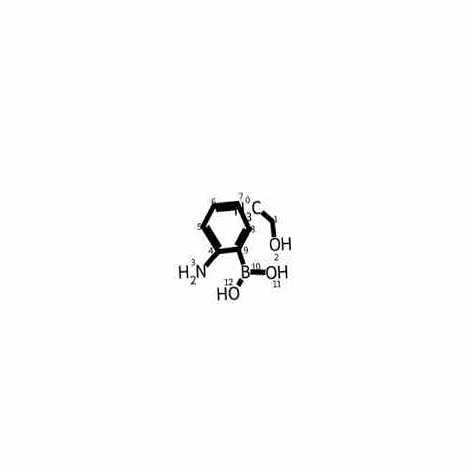 CCO.Nc1ccccc1B(O)O